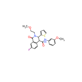 COCCN1C(=O)c2cc(I)ccc2C(C(=O)Nc2cccc(OC)c2)C1c1cccs1